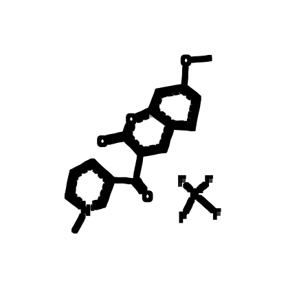 COc1ccc2cc(C(=O)c3ccc[n+](C)c3)c(=O)oc2c1.F[B-](F)(F)F